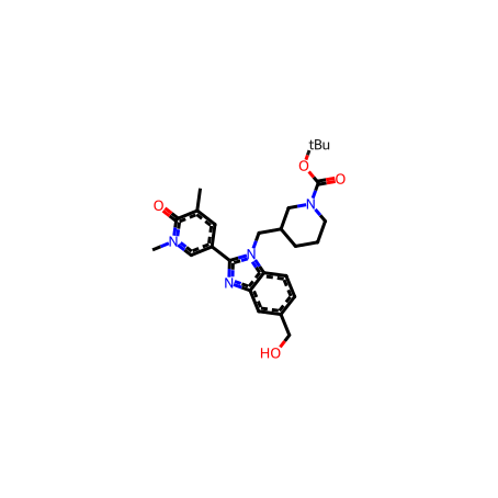 Cc1cc(-c2nc3cc(CO)ccc3n2CC2CCCN(C(=O)OC(C)(C)C)C2)cn(C)c1=O